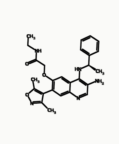 CCNC(=O)COc1cc2c(N[C@H](C)c3ccccc3)c(N)cnc2cc1-c1c(C)noc1C